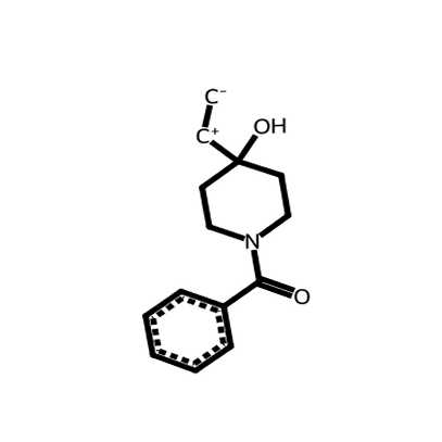 [CH2-][CH+]C1(O)CCN(C(=O)c2ccccc2)CC1